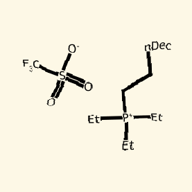 CCCCCCCCCCCC[P+](CC)(CC)CC.O=S(=O)([O-])C(F)(F)F